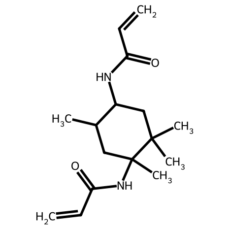 C=CC(=O)NC1CC(C)(C)C(C)(NC(=O)C=C)CC1C